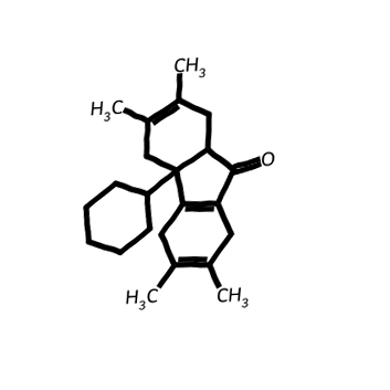 CC1=C(C)CC2=C(C1)C(=O)C1CC(C)=C(C)CC21C1CCCCC1